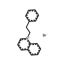 [Br-].c1ccc(CC[n+]2cccc3ccccc32)cc1